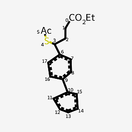 CCOC(=O)CCC(SC(C)=O)c1ccc(-c2ccccc2)cc1